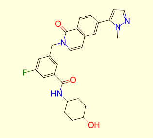 Cn1nccc1-c1ccc2c(=O)n(Cc3cc(F)cc(C(=O)N[C@H]4CC[C@@H](O)CC4)c3)ccc2c1